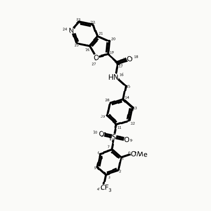 COc1cc(C(F)(F)F)ccc1S(=O)(=O)c1ccc(CNC(=O)c2cc3ccncc3o2)cc1